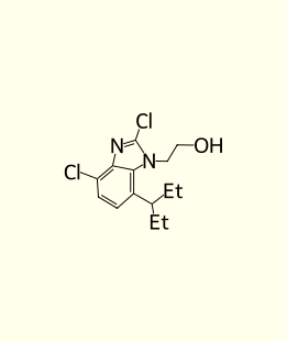 CCC(CC)c1ccc(Cl)c2nc(Cl)n(CCO)c12